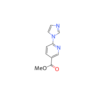 COC(=O)c1ccc(-n2ccnc2)nc1